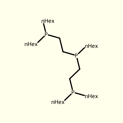 CCCCCCP(CCCCCC)CCP(CCCCCC)CCP(CCCCCC)CCCCCC